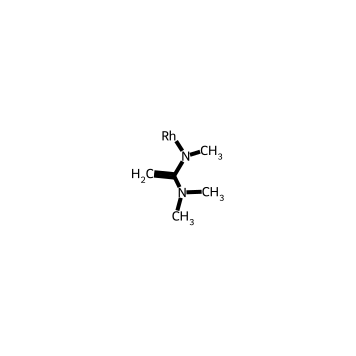 C=C(N(C)C)[N](C)[Rh]